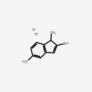 Cc1ccc2c(c1)C=[C]([Zr+2])C2C.[Cl-].[Cl-]